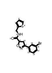 O=C(NCc1cccs1)C1CC(c2cccc(Br)c2)=NO1